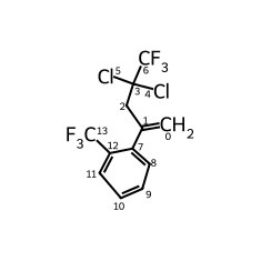 C=C(CC(Cl)(Cl)C(F)(F)F)c1ccccc1C(F)(F)F